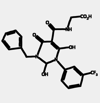 O=C(O)CNC(=O)C1=C(O)N(c2cccc(C(F)(F)F)c2)C(O)N(Cc2ccccc2)C1=O